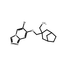 CCC1(COc2cc3nncn3cc2Br)CC2CCC(C2)C1